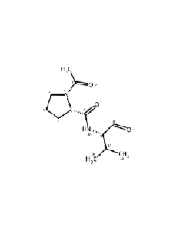 CC(=O)N1CCC[C@H]1C(=O)N[C@H]([C]=O)C(C)C